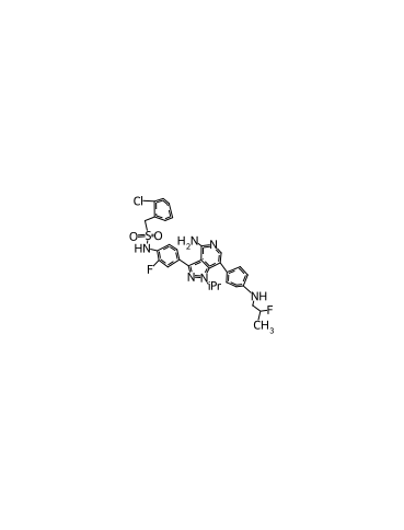 CC(F)CNc1ccc(-c2cnc(N)c3c(-c4ccc(NS(=O)(=O)Cc5ccccc5Cl)c(F)c4)nn(C(C)C)c23)cc1